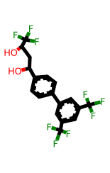 OC(CC(O)C(F)(F)F)c1ccc(-c2cc(C(F)(F)F)cc(C(F)(F)F)c2)cc1